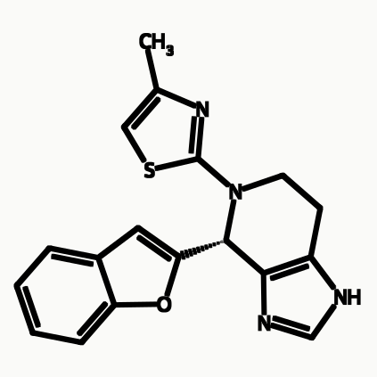 Cc1csc(N2CCc3[nH]cnc3[C@@H]2c2cc3ccccc3o2)n1